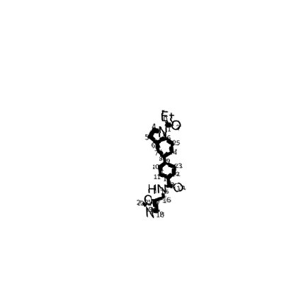 CCC(=O)n1ccc2cc(-c3ccc(C(=O)NCc4cnco4)cc3)ccc21